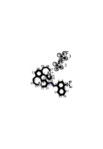 CN(C)c1ccc(/C=C/c2cc[n+]3c(c2)-c2c(ccc4c2-c2cccc[n+]2CCC4)CCC3)c2ccccc12.O=S(=O)([O-])C(F)(F)F.O=S(=O)([O-])C(F)(F)F